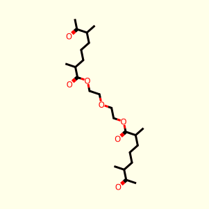 CC(=O)C(C)CCCC(C)C(=O)OCCOCCOC(=O)C(C)CCCC(C)C(C)=O